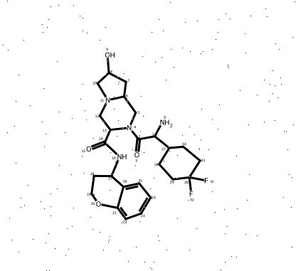 NC(C(=O)N1CC2CC(O)CN2CC1C(=O)NC1CCOc2ccccc21)C1CCC(F)(F)CC1